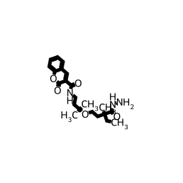 CCC(C)(CCOC(C)(C)CCNC(=O)c1cc2ccccc2oc1=O)C(=O)NN